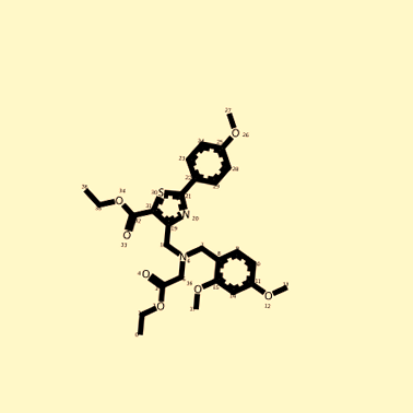 CCOC(=O)CN(Cc1ccc(OC)cc1OC)Cc1nc(-c2ccc(OC)cc2)sc1C(=O)OCC